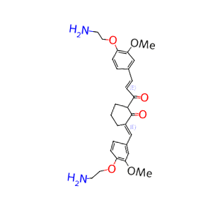 COc1cc(/C=C/C(=O)C2CCC/C(=C\c3ccc(OCCN)c(OC)c3)C2=O)ccc1OCCN